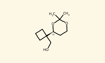 CC1(C)OCC[C@@H](C2(CO)CCC2)O1